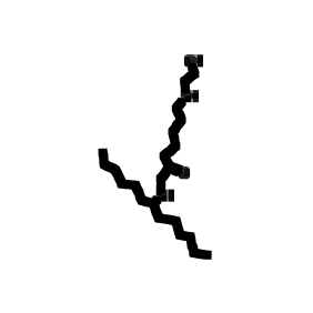 CCCCCCC(CCCCCC)NCC(=O)CCCCCNCCO